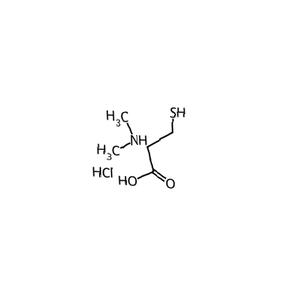 CNC.Cl.O=C(O)CCS